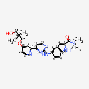 CN(C)C(=O)c1cc2cc(Nc3nccc(-c4cc(OCC(C)(C)CO)ccn4)n3)ccc2[nH]1